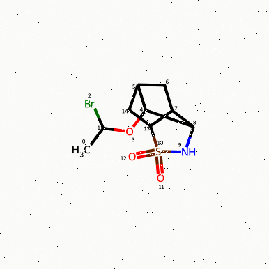 CC(Br)OC1C2CC3C1NS(=O)(=O)C3C2